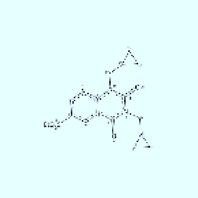 CCOC(=O)c1cnc2c(c1)c(=O)n(CC1CC1)c(=O)n2CC1CC1